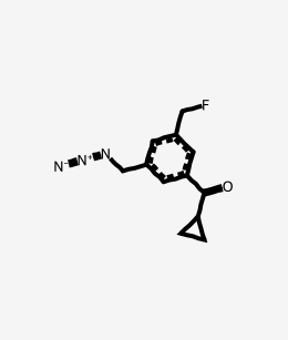 [N-]=[N+]=NCc1cc(CF)cc(C(=O)C2CC2)c1